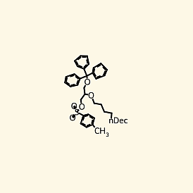 CCCCCCCCCCCCCCOC(COC(c1ccccc1)(c1ccccc1)c1ccccc1)COS(=O)(=O)c1ccc(C)cc1